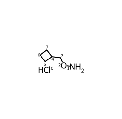 Cl.NOCC1CCC1